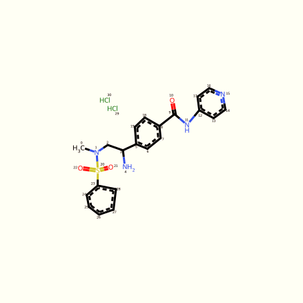 CN(CC(N)c1ccc(C(=O)Nc2ccncc2)cc1)S(=O)(=O)c1ccccc1.Cl.Cl